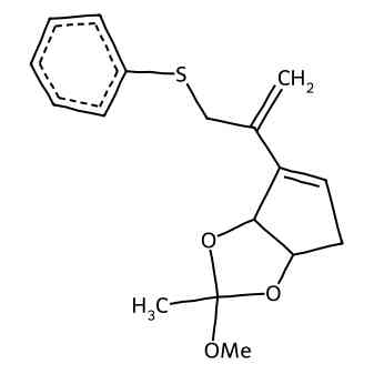 C=C(CSc1ccccc1)C1=CCC2OC(C)(OC)OC12